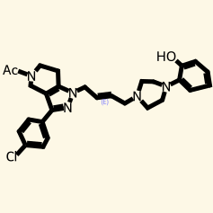 CC(=O)N1CCc2c(c(-c3ccc(Cl)cc3)nn2C/C=C/CN2CCN(c3ccccc3O)CC2)C1